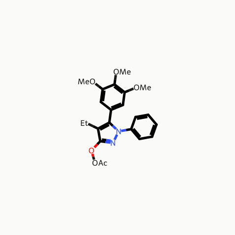 CCc1c(OOC(C)=O)nn(-c2ccccc2)c1-c1cc(OC)c(OC)c(OC)c1